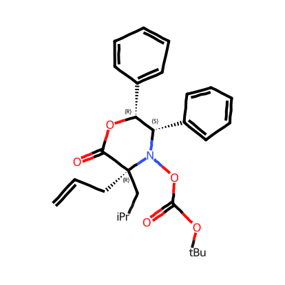 C=CC[C@]1(CC(C)C)C(=O)O[C@H](c2ccccc2)[C@H](c2ccccc2)N1OC(=O)OC(C)(C)C